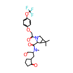 CN(C(=O)C1C2C(CN1C(=O)COc1ccc(OC(F)(F)F)cc1)C2(C)C)C(C=O)CC1CCCC1=O